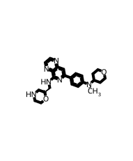 CN(c1ccc(-c2cc3nccnc3c(NC[C@@H]3CNCCO3)n2)cc1)C1CCOCC1